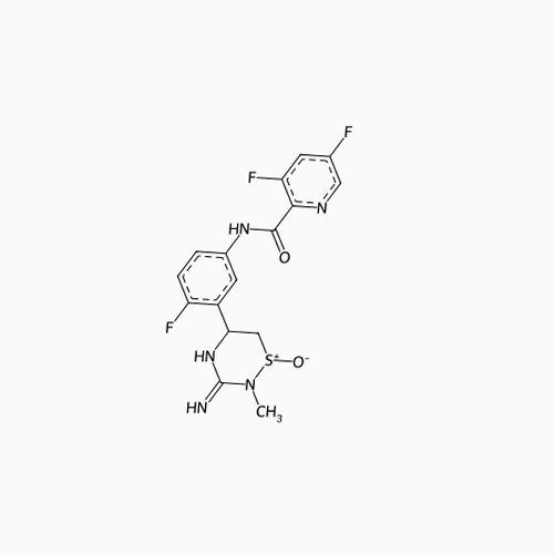 CN1C(=N)NC(c2cc(NC(=O)c3ncc(F)cc3F)ccc2F)C[S+]1[O-]